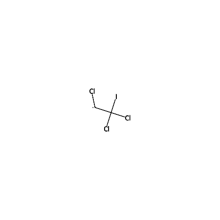 Cl[CH]C(Cl)(Cl)I